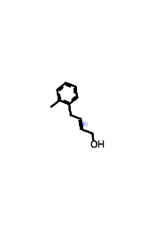 Cc1ccccc1C/C=C/CO